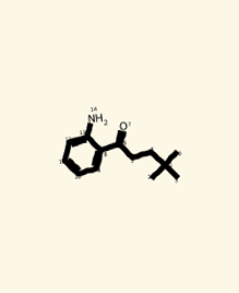 CC(C)(C)CCC(=O)c1ccccc1N